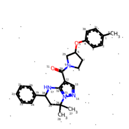 Cc1ccc(OC2CCN(C(=O)c3cnn4c3NC(c3ccccc3)CC4(C)C)C2)cc1